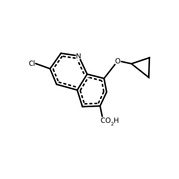 O=C(O)c1cc(OC2CC2)c2ncc(Cl)cc2c1